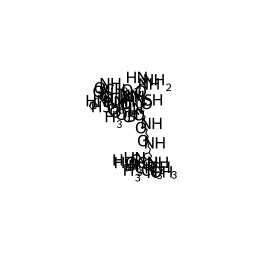 CSCC(=O)N[C@@H](CCCCNC(=O)CCCC(=O)NCCC(CCNC(C)(C)/C(C)=N\O)CCNC(C)(C)/C(C)=N\O)C(=O)N[C@@H](CS)C(=O)N[C@@H](CCCNC(=N)N)C(=O)NCC(=O)N[C@@H](CC(=O)O)C(=O)NC(S)C(=O)N[C@@H](Cc1ccccc1)C(=O)N[C@@H](C)C(N)=O